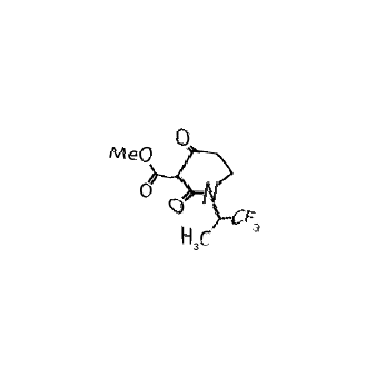 COC(=O)C1C(=O)CCN(C(C)C(F)(F)F)C1=O